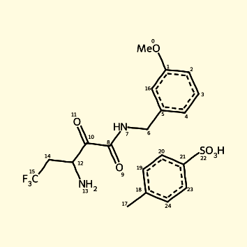 COc1cccc(CNC(=O)C(=O)C(N)CC(F)(F)F)c1.Cc1ccc(S(=O)(=O)O)cc1